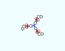 c1ccc2c3c(ccc2c1)OB(c1ccc(N(c2ccc(B4Oc5ccc6ccccc6c5O4)cc2)c2ccc(B4Oc5ccc6ccccc6c5O4)cc2)cc1)O3